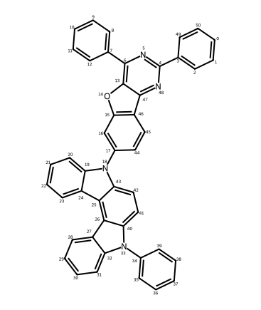 c1ccc(-c2nc(-c3ccccc3)c3oc4cc(-n5c6ccccc6c6c7c8ccccc8n(-c8ccccc8)c7ccc65)ccc4c3n2)cc1